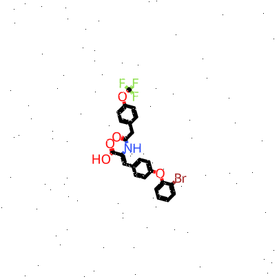 O=C(Cc1ccc(OC(F)(F)F)cc1)N/C(=C\c1ccc(Oc2ccccc2Br)cc1)C(=O)O